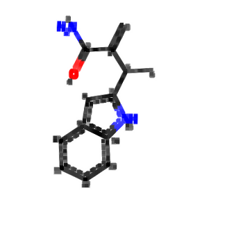 C=C(C(N)=O)C(C)c1cc2ccccc2[nH]1